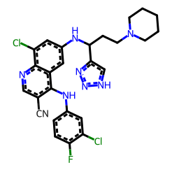 N#Cc1cnc2c(Cl)cc(NC(CCN3CCCCC3)c3c[nH]nn3)cc2c1Nc1ccc(F)c(Cl)c1